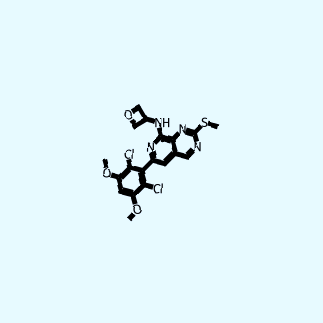 COc1cc(OC)c(Cl)c(-c2cc3cnc(SC)nc3c(NC3COC3)n2)c1Cl